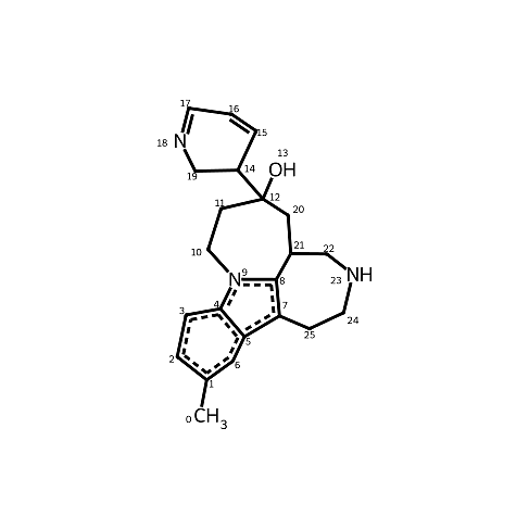 Cc1ccc2c(c1)c1c3n2CCC(O)(C2C=CC=NC2)CC3CNCC1